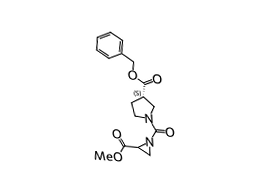 COC(=O)C1CN1C(=O)N1CC[C@H](C(=O)OCc2ccccc2)C1